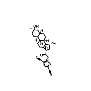 CC[C@@H]1C[C@H](C(=O)Cn2nc(C#N)cc2C#N)[C@@]2(C)CC[C@H]3[C@@H](CC[C@@H]4C[C@](C)(O)CC[C@@H]43)[C@H]12